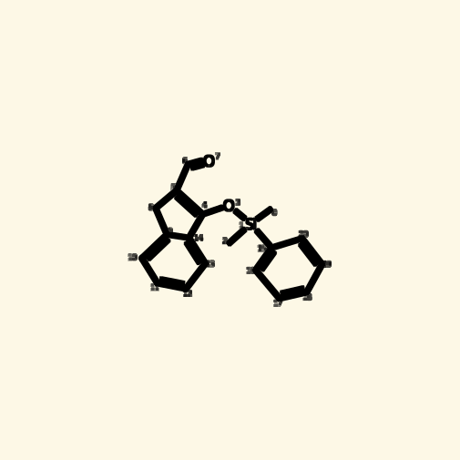 C[Si](C)(OC1=C(C=O)Cc2ccccc21)c1ccccc1